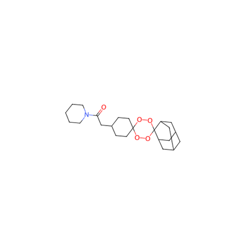 O=C(CC1CCC2(CC1)OOC1(OO2)C2CC3CC(C2)CC1C3)N1CCCCC1